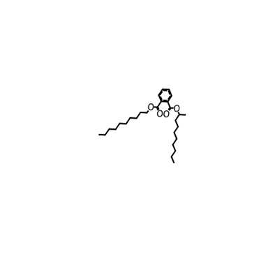 CCCCCCCCCCOC(=O)c1ccccc1C(=O)OC(C)CCCCCCCC